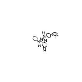 Cc1nccn1-c1ccc(Nc2nc3c(c(NC4CCCCC4)n2)CNCC3)cc1